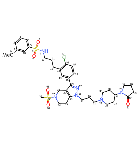 COc1cccc(S(=O)(=O)NCCCc2cc(-c3nn(CCCN4CCC(N5CCCC5=O)CC4)c4c3CN(S(C)(=O)=O)CC4)ccc2Cl)c1